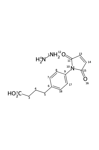 NN.O=C(O)CCCc1ccc(N2C(=O)C=CC2=O)cc1